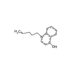 C=CCCC[n+]1ccc(O)c2ccccc21